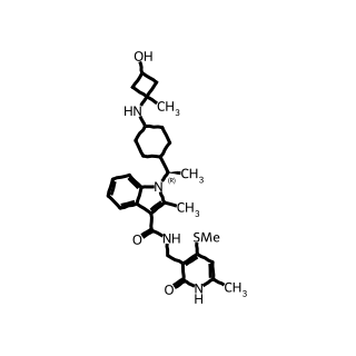 CSc1cc(C)[nH]c(=O)c1CNC(=O)c1c(C)n([C@H](C)C2CCC(NC3(C)CC(O)C3)CC2)c2ccccc12